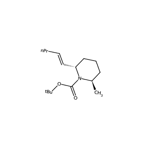 CCCC=C[C@@H]1CCC[C@@H](C)N1C(=O)OC(C)(C)C